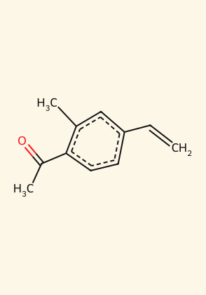 C=Cc1ccc(C(C)=O)c(C)c1